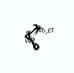 CCOC(=O)c1[nH]c(C)c(CCC(=O)N2CCCC(C(=O)NCCN3CCCCCC3)C2)c1C